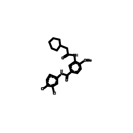 COc1ccc(C(=O)Nc2ccc(Cl)c(Cl)c2)cc1NC(=O)CC1CCCCC1